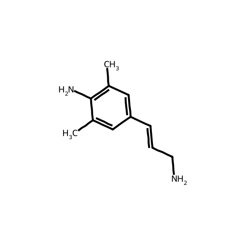 Cc1cc(/C=C/CN)cc(C)c1N